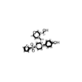 O=S(=O)(c1cccs1)N1CCN(c2ccc(O)cc2)[C@@H](CN2CCOC[C@@H]2CO)C1